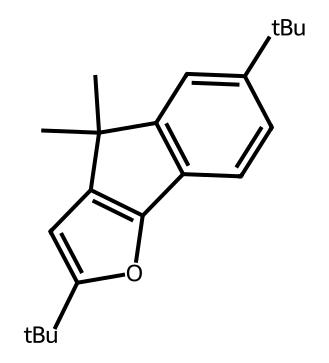 CC(C)(C)c1ccc2c(c1)C(C)(C)c1cc(C(C)(C)C)oc1-2